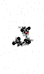 CC(C)C[C@H](NC(=O)[C@H](Cc1ccccc1)NC(=O)[C@H](Cc1ccccc1)NC(=O)CN)C(=O)NCCNc1ccc(NCCNC(=O)[C@H](CC(C)C)NC(=O)[C@H](Cc2ccccc2)NC(=O)[C@H](Cc2ccccc2)NC(=O)CN)c2c1C(=O)c1c(O)ccc(O)c1C2=O